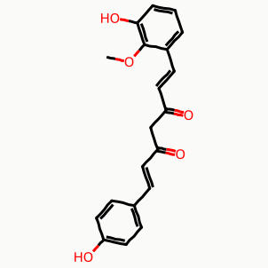 COc1c(O)cccc1/C=C/C(=O)CC(=O)/C=C/c1ccc(O)cc1